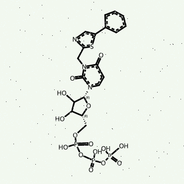 O=c1ccn([C@@H]2O[C@H](COP(=O)(O)OP(=O)(O)OP(=O)(O)O)C(O)C2O)c(=O)n1Cc1ncc(-c2ccccc2)s1